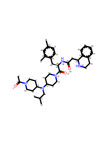 CC(=O)N1CCC(N(CC(C)C)C2CCN(C(=O)[C@@H](Cc3ccc(C)cc3C)NC(=O)CC3NCCc4ccccc43)CC2)CC1